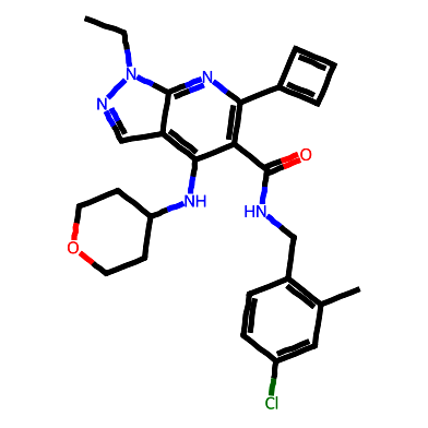 CCn1ncc2c(NC3CCOCC3)c(C(=O)NCc3ccc(Cl)cc3C)c(C3=CC=C3)nc21